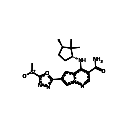 C[C@@H]1CC[C@@H](Nc2c(C(N)=O)cnn3cc(-c4nnc([S+](C)[O-])o4)cc23)C1(C)C